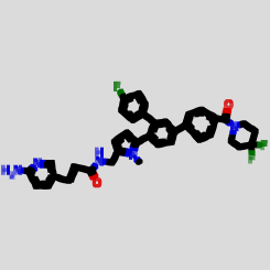 Cn1c(CNC(=O)C=Cc2ccc(N)nc2)ccc1-c1ccc(-c2ccc(C(=O)N3CCC(F)(F)CC3)cc2)cc1-c1ccc(F)cc1